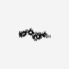 Cc1cc(Nc2ncnc3cnc(N[C@@H]4CCNC4)nc23)ccc1Oc1ccn2ncnc2c1